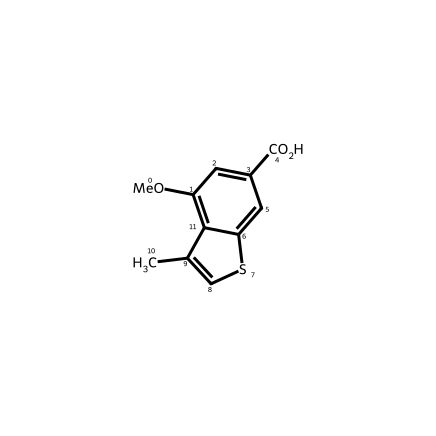 COc1cc(C(=O)O)cc2scc(C)c12